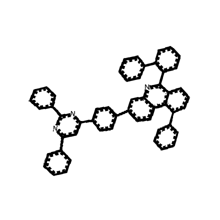 c1ccc(-c2cc(-c3ccc(-c4ccc5c(c4)nc(-c4ccccc4-c4ccccc4)c4cccc(-c6ccccc6)c45)cc3)nc(-c3ccccc3)n2)cc1